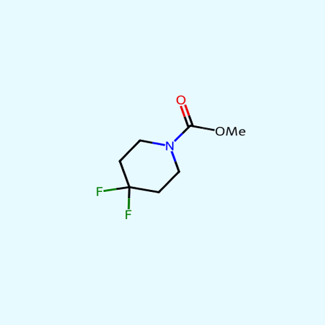 COC(=O)N1CCC(F)(F)CC1